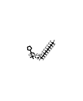 CC(C)(C)S(C)(CC(=O)C1CCCC1)OS(=O)(=O)C(F)(F)C(F)(F)C(F)(F)C(F)(F)C(F)(F)C(F)(F)C(F)(F)C(F)(F)F